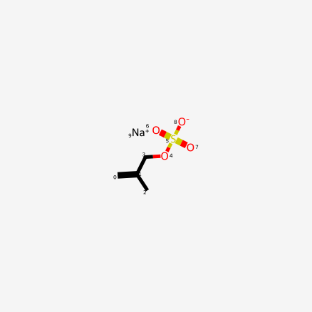 C=C(C)COS(=O)(=O)[O-].[Na+]